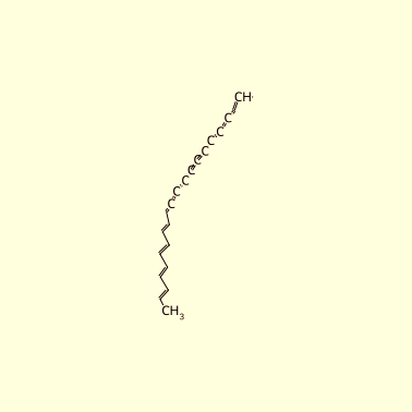 [CH]=C=C=C=C=C=C=C=C=C=C=C/C=C/C=C/C=C/C=C/C